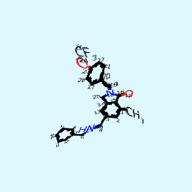 Cc1cc(CNCc2ccccc2)cc2c1C(=O)N(Cc1ccc(OC(F)(F)F)cc1)C2